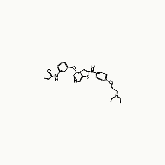 C=CC(=O)Nc1cccc(Oc2cncc3sc(Nc4ccc(OCCN(CC)CC)cc4)cc23)c1